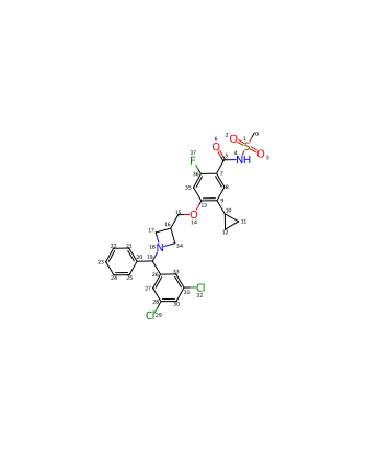 CS(=O)(=O)NC(=O)c1cc(C2CC2)c(OCC2CN(C(c3ccccc3)c3cc(Cl)cc(Cl)c3)C2)cc1F